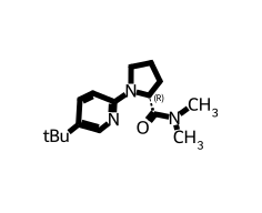 CN(C)C(=O)[C@H]1CCCN1c1ccc(C(C)(C)C)cn1